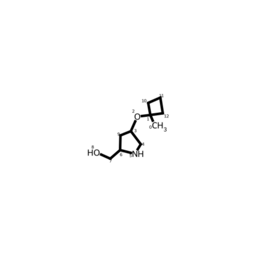 CC1(OC2CNC(CO)C2)CCC1